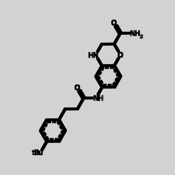 CC(C)(C)c1ccc(CCC(=O)Nc2ccc3c(c2)NCC(C(N)=O)O3)cc1